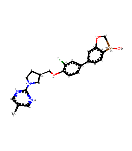 CCc1cnc(N2CC[C@@H](COc3ccc(-c4ccc5c(c4)OC[S@@+]5[O-])cc3F)C2)nc1